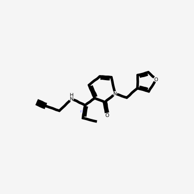 C#CCN/C(=C/C)c1cccn(Cc2ccoc2)c1=O